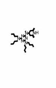 C=C1CC(N(C)c2nc(N(CCCC)CCCC)nc(N(CCCC)CCCC)n2)CC(=C)N1